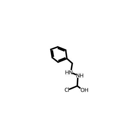 OC(Cl)NNCc1ccccc1